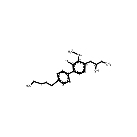 CCCCCc1ccc(-c2ccc(CC(O)CC)c(OC)c2F)cc1